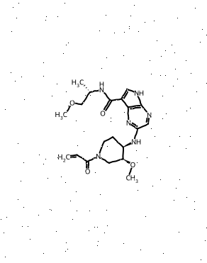 C=CC(=O)N1CC[C@@H](Nc2cnc3[nH]cc(C(=O)N[C@@H](C)COC)c3n2)[C@@H](OC)C1